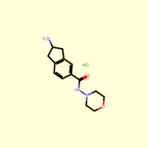 Cl.NC1Cc2ccc(C(=O)NN3CCOCC3)cc2C1